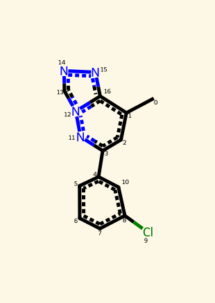 Cc1cc(-c2cccc(Cl)c2)nn2cnnc12